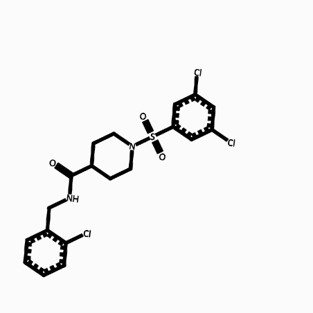 O=C(NCc1ccccc1Cl)C1CCN(S(=O)(=O)c2cc(Cl)cc(Cl)c2)CC1